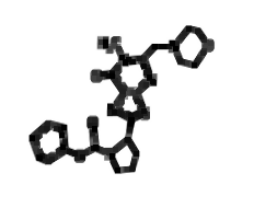 Cn1c(CN2CCOCC2)nc2sc([C@H]3CCCN3C(=O)Oc3ccccc3)nc2c1=O